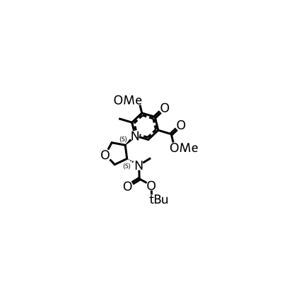 COC(=O)c1cn([C@@H]2COC[C@H]2N(C)C(=O)OC(C)(C)C)c(C)c(OC)c1=O